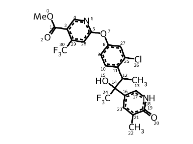 COC(=O)c1cnc(Oc2ccc(C(C)C(O)(c3c[nH]c(=O)c(C)c3)C(F)(F)F)c(Cl)c2)cc1C(F)(F)F